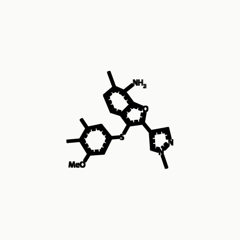 COc1cc(Sc2c(-c3cnn(C)c3)oc3c(N)c(C)ccc23)cc(C)c1C